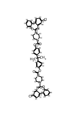 CC(C)(c1ccc(OC(=O)N2CCN(C3=Nc4cc(Cl)ccc4-c4ccccc4O3)CC2)cc1)c1ccc(OC(=O)N2CCN(C3=Nc4cc(Cl)ccc4-c4ccccc4O3)CC2)cc1